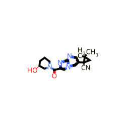 CC1(C)CC1(C#N)c1cnc2nc(C(=O)N3CCC[C@@H](O)C3)cn2c1